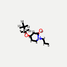 CCCN1CCC(O[Si](C)(C)C(C)(C)C)CC1=O